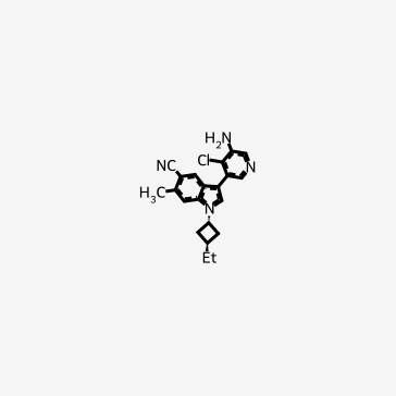 CC[C@H]1C[C@H](n2cc(-c3cncc(N)c3Cl)c3cc(C#N)c(C)cc32)C1